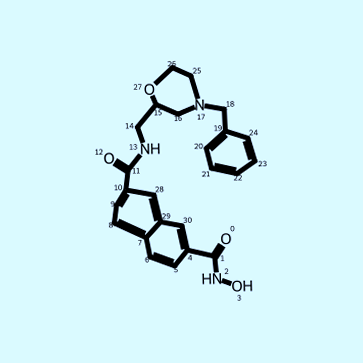 O=C(NO)c1ccc2ccc(C(=O)NCC3CN(Cc4ccccc4)CCO3)cc2c1